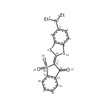 CCN(CC)c1ccc2c(c1)S/C(=C1/C(=O)c3ccccc3S1(=O)=O)S2